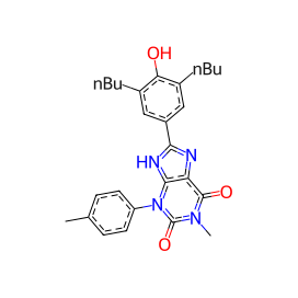 CCCCc1cc(-c2nc3c(=O)n(C)c(=O)n(-c4ccc(C)cc4)c3[nH]2)cc(CCCC)c1O